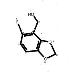 OCc1c(F)ccc2c1OCO2